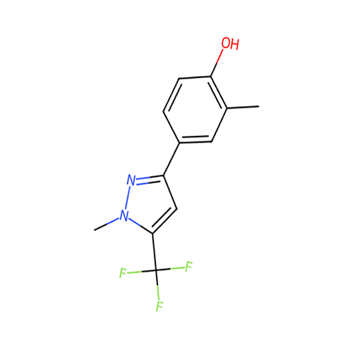 Cc1cc(-c2cc(C(F)(F)F)n(C)n2)ccc1O